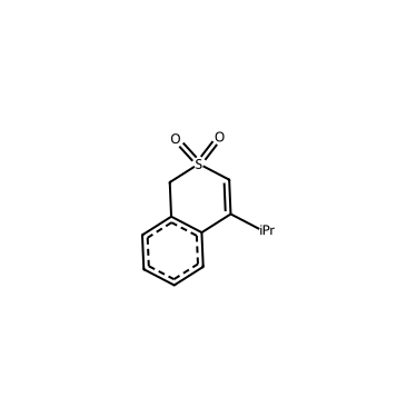 CC(C)C1=CS(=O)(=O)Cc2ccccc21